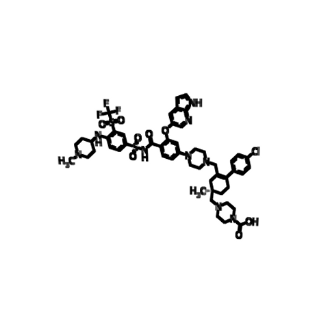 CN1CCC(Nc2ccc(S(=O)(=O)NC(=O)c3ccc(N4CCN(CC5=C(c6ccc(Cl)cc6)CC[C@@](C)(CN6CCN(C(=O)O)CC6)C5)CC4)cc3Oc3cnc4[nH]ccc4c3)cc2S(=O)(=O)C(F)(F)F)CC1